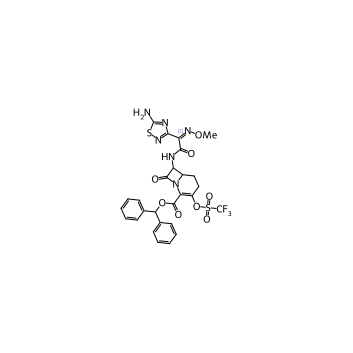 CO/N=C(\C(=O)NC1C(=O)N2C(C(=O)OC(c3ccccc3)c3ccccc3)=C(OS(=O)(=O)C(F)(F)F)CCC12)c1nsc(N)n1